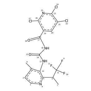 Cc1ccnc(C(C)C(F)(F)F)c1NC(=O)NC(=O)c1cc(Cl)c(Cl)nc1Cl